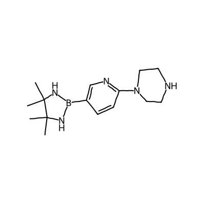 CC1(C)NB(c2ccc(N3CCNCC3)nc2)NC1(C)C